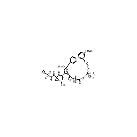 C=C[C@@H]1C[C@]1(NC(=O)[C@@H]1C[C@]2(OC)CN1C(=O)[C@H](C(C)(C)C)NC(=O)OCC(C)(C)CCCCc1cc(OC)ccc1-c1ccc2cc1)C(=O)NS(=O)(=O)C1CC1